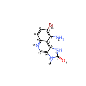 Cn1c(=O)[nH]c2c3c(N)c(Br)ccc3ncc21